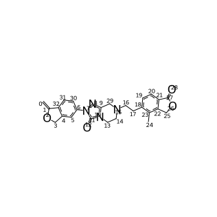 C=C1OCc2cc(-n3nc4n(c3=O)CCN(CCc3ccc5c(c3C)COC5=O)C4)ccc21